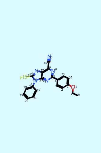 CCOc1ccc(-c2nc(C#N)c3nc(S)n(-c4ccccc4)c3n2)cc1